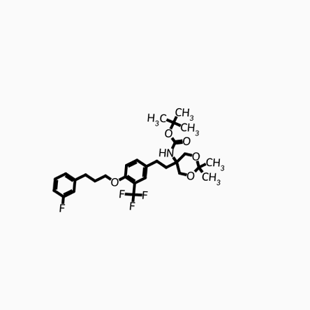 CC(C)(C)OC(=O)NC1(CCc2ccc(OCCCc3cccc(F)c3)c(C(F)(F)F)c2)COC(C)(C)OC1